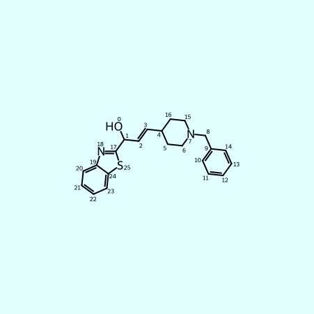 OC(/C=C/C1CCN(Cc2ccccc2)CC1)c1nc2ccccc2s1